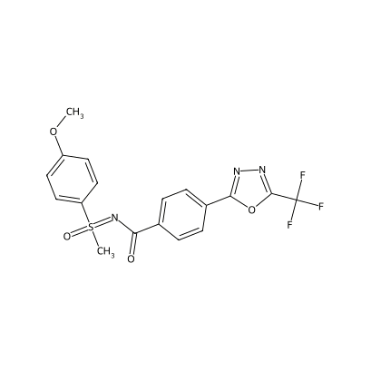 COc1ccc(S(C)(=O)=NC(=O)c2ccc(-c3nnc(C(F)(F)F)o3)cc2)cc1